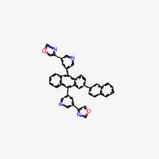 c1ccc2cc(-c3ccc4c(-c5cncc(-c6cocn6)c5)c5ccccc5c(-c5cncc(-c6cocn6)c5)c4c3)ccc2c1